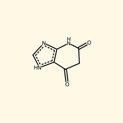 O=C1CC(=O)c2[nH]cnc2N1